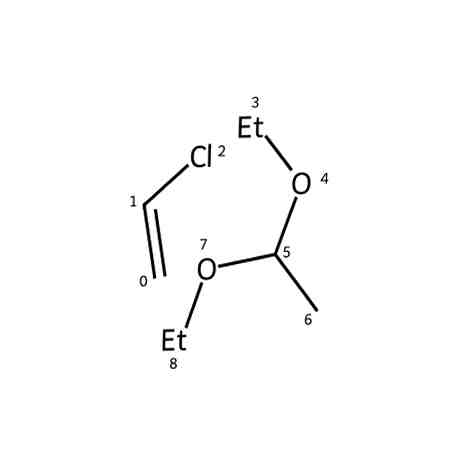 C=CCl.CCOC(C)OCC